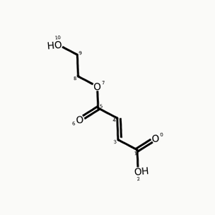 O=C(O)/C=C/C(=O)OCCO